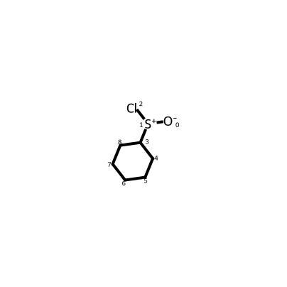 [O-][S+](Cl)C1CCCCC1